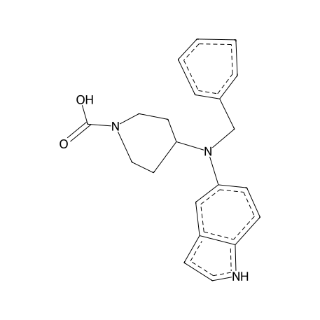 O=C(O)N1CCC(N(Cc2ccccc2)c2ccc3[nH]ccc3c2)CC1